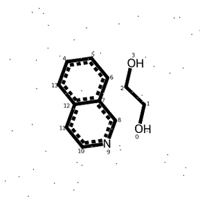 OCCO.c1ccc2cnccc2c1